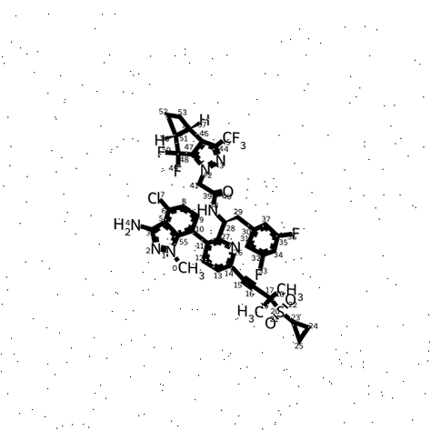 Cn1nc(N)c2c(Cl)ccc(-c3ccc(C#CC(C)(C)S(=O)(=O)C4CC4)nc3[C@H](Cc3cc(F)cc(F)c3)NC(=O)Cn3nc(C(F)(F)F)c4c3C(F)(F)[C@@H]3CC[C@H]43)c21